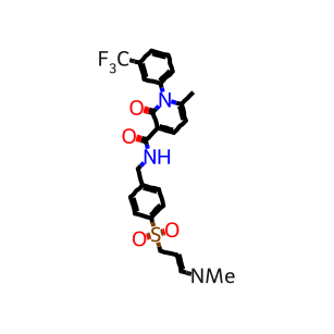 CNC=CCS(=O)(=O)c1ccc(CNC(=O)c2ccc(C)n(-c3cccc(C(F)(F)F)c3)c2=O)cc1